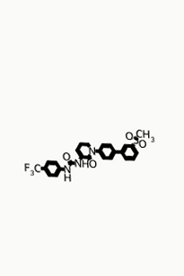 CS(=O)(=O)c1cccc(-c2ccc(N3CCC=C(NC(=O)Nc4ccc(C(F)(F)F)cc4)C3=O)cc2)c1